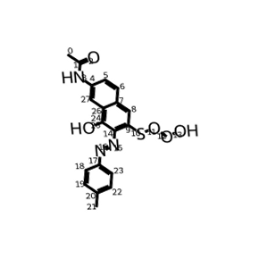 CC(=O)Nc1ccc2cc(SOOO)c(N=Nc3ccc(C)cc3)c(O)c2c1